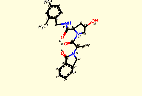 Cc1cc(C#N)ccc1CNC(=O)C1CC(O)CN1C(=O)C(C(C)C)N1Cc2ccccc2C1=O